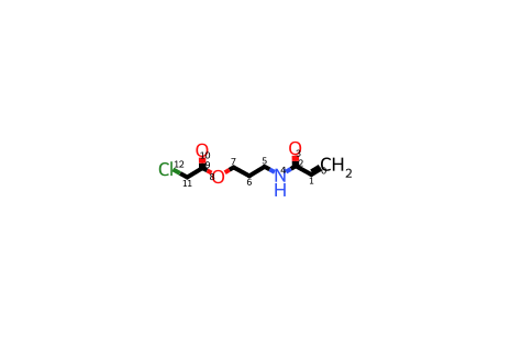 C=CC(=O)NCCCOC(=O)CCl